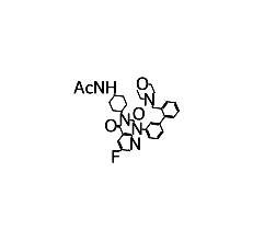 CC(=O)N[C@H]1CC[C@@H](n2c(=O)c3cc(F)cnc3n(-c3cccc(-c4ccccc4CN4CCOCC4)c3)c2=O)CC1